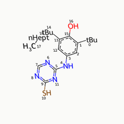 CC(C)(C)c1cc(Nc2ncnc(S)n2)cc(C(C)(C)C)c1O.CCCCCCCC